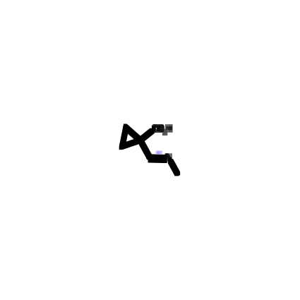 C/N=C/C1(C(=O)O)CC1